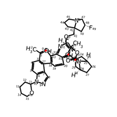 C=C(C)c1ccc2c(cnn2C2CCCCO2)c1-c1ccc2c(N3C[C@H]4CC[C@@H](C3)N4C(=O)OC(C)(C)C)nc(OC[C@@]34CCCN3C[C@H](F)C4)nc2c1F